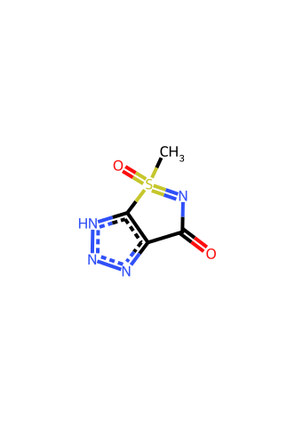 CS1(=O)=NC(=O)c2nn[nH]c21